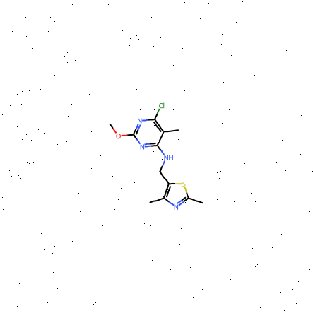 COc1nc(Cl)c(C)c(NCc2sc(C)nc2C)n1